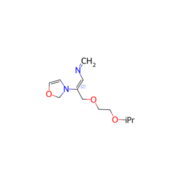 C=N/C=C(/COCCOC(C)C)N1C=COC1